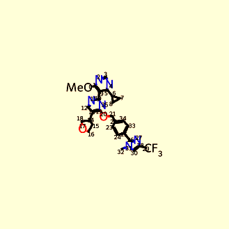 COc1ncnc(C2CC2)c1-c1ncc(C2CCOC2)c(OCc2ccc(-c3nc(C(F)(F)F)cn3C)cc2)n1